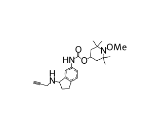 C#CCNC1CCc2ccc(NC(=O)OC3CC(C)(C)N(OC)C(C)(C)C3)cc21